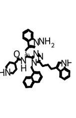 Nn1cc(C[C@@H](NC(=O)C2CCNCC2)c2nnc(CCCc3c[nH]c4ccccc34)n2Cc2cccc3ccccc23)c2ccccc21